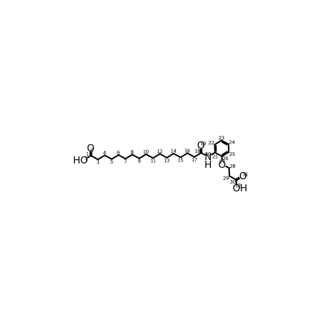 O=C(O)CCCCCCCCCCCCCCCC(=O)Nc1ccccc1OCCC(=O)O